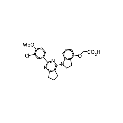 COc1ccc(-c2nc3c(c(N4CCc5c(OCC(=O)O)cccc54)n2)CCC3)cc1Cl